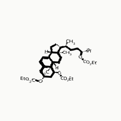 CCOC(=O)O[C@@H]1CC2=CC=C3[C@@H]4CC[C@H]([C@H](C)CC[C@@H](OC(=O)OCC)C(C)C)[C@@]4(C)CC[C@@H]3[C@@]2(C)[C@@H](OC(=O)OCC)C1